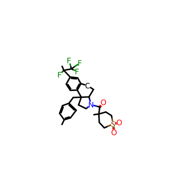 Cc1ccc(CC23CCN(C(=O)C4(C)CCS(=O)(=O)CC4)C2CCc2cc(C(C)(F)C(F)(F)F)ccc23)cc1